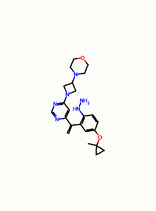 C=C(c1cc(N2CC(N3CCOCC3)C2)ncn1)c1cc(OC2(C)CC2)ccc1NN